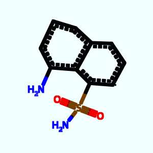 Nc1cccc2cc[c]c(S(N)(=O)=O)c12